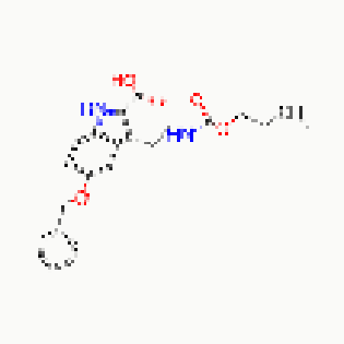 CCCOC(=O)NCCc1c(C(=O)O)[nH]c2ccc(OCc3ccccc3)cc12